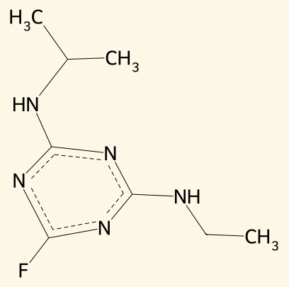 CCNc1nc(F)nc(NC(C)C)n1